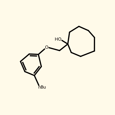 CCCCc1cccc(OCC2(O)CCCCCCC2)c1